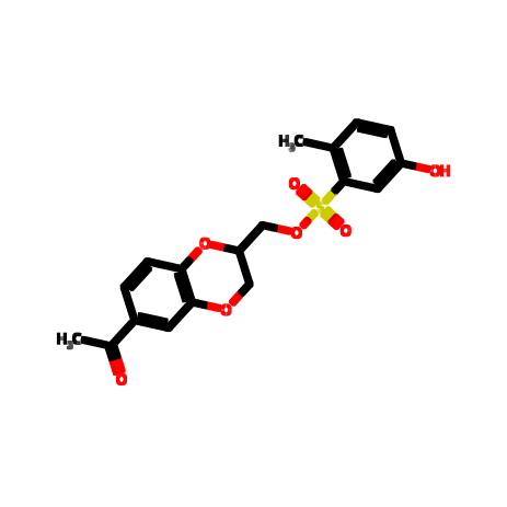 CC(=O)c1ccc2c(c1)OCC(COS(=O)(=O)c1cc(O)ccc1C)O2